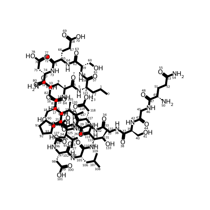 CC[C@H](C)[C@H](NC(=O)[C@H](CCC(N)=O)NC(=O)[C@H](CO)NC(=O)[C@H](CC(C)C)NC(=O)CNC(=O)CNC(=O)[C@H](CO)NC(=O)CNC(=O)[C@@H](N)CCC(N)=O)C(=O)N[C@@H](CO)C(=O)N[C@@H](CCC(=O)O)C(=O)N[C@@H](CC(=O)O)C(=O)NCC(=O)N[C@H](C(=O)N1CCC[C@H]1C(=O)N[C@@H](CC(=O)O)C(=O)N[C@@H](CC(C)C)C(=O)N[C@H](C(=O)N[C@@H](CC(=O)O)C(=O)N[C@@H](CO)C(=O)O)[C@@H](C)O)[C@@H](C)CC